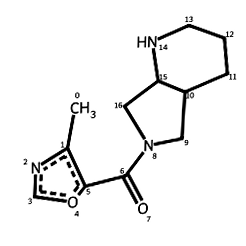 Cc1ncoc1C(=O)N1CC2CCCNC2C1